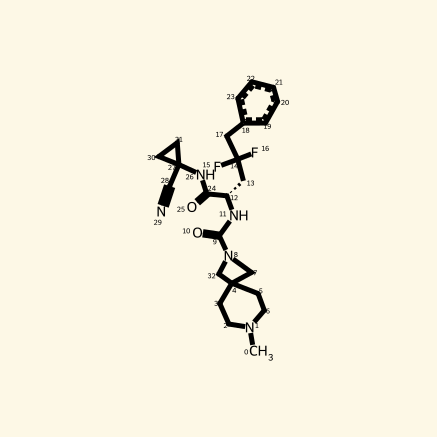 CN1CCC2(CC1)CN(C(=O)N[C@@H](CC(F)(F)Cc1ccccc1)C(=O)NC1(C#N)CC1)C2